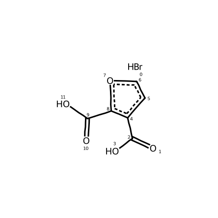 Br.O=C(O)c1ccoc1C(=O)O